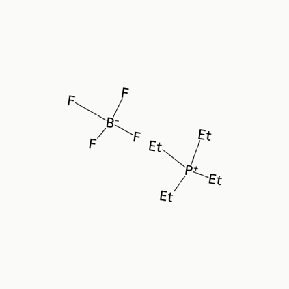 CC[P+](CC)(CC)CC.F[B-](F)(F)F